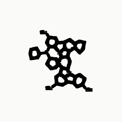 CC(C)(C)c1ccc2c(c1)c1cc(C(C)(C)C)cc3c4nc5c(cc4n2c13)c1c2ccccc2cc2c3cc(C(C)(C)C)cc(N(c4ccccc4)c4ccccc4)c3n5c21